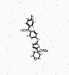 COC1(c2ccc(Sc3ccc(C(O)c4ccc(F)cc4)cc3)s2)CCOCC1